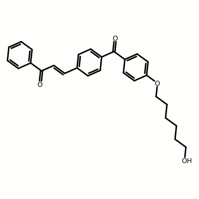 O=C(/C=C/c1ccc(C(=O)c2ccc(OCCCCCCO)cc2)cc1)c1ccccc1